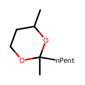 CCCCCC1(C)OCCC(C)O1